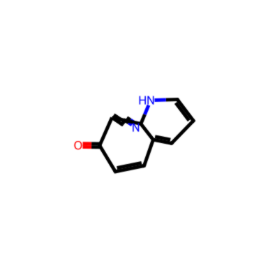 O=C1C=CC2=CC=CNC23N=CC=C13